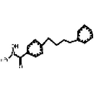 CCCN(O)C(=O)c1ccc(CCCCc2ccccc2)cc1